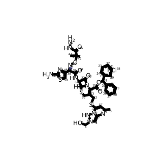 CC1=NC2=CN(CO)NN2C(SCC2=C(C(=O)OC(c3ccccc3)c3ccccc3)N3C(=O)C(NC(=O)/C(=N\OC(C)(C)C(=O)NN)c4csc(N)n4)[C@H]3SC2)=C1.Cl